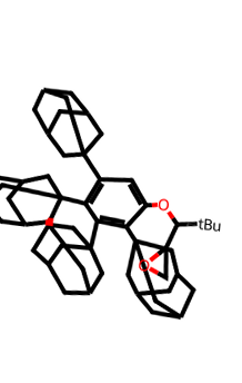 CC(C)(C)C(Oc1cc(C23CC4CC(CC(C4)C2)C3)c(C23CC4CC(CC(C4)C2)C3)c(C23CC4CC(CC(C4)C2)C3)c1C12CC3CC(CC(C3)C1)C2)C1CO1